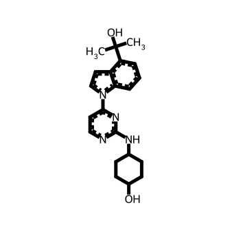 CC(C)(O)c1cccc2c1ccn2-c1ccnc(NC2CCC(O)CC2)n1